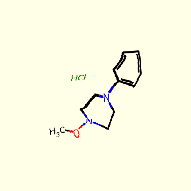 CON1CCN(c2ccccc2)CC1.Cl